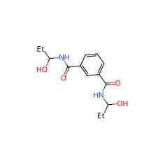 CCC(O)NC(=O)c1cccc(C(=O)NC(O)CC)c1